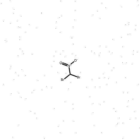 O=[N+]([O-])C(Br)Br